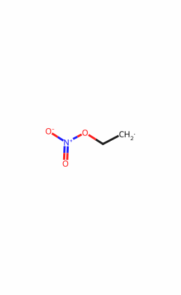 [CH2]CO[N+](=O)[O-]